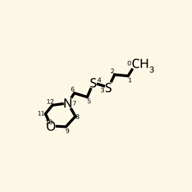 CCCSSCCN1CCOCC1